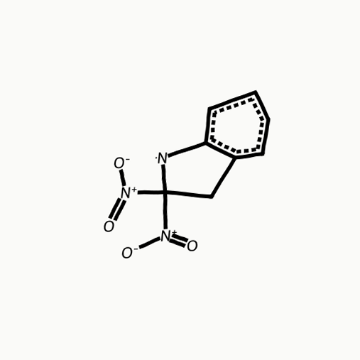 O=[N+]([O-])C1([N+](=O)[O-])Cc2ccccc2[N]1